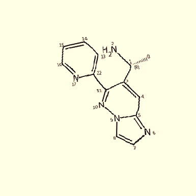 C[C@@H](N)c1cc2nccn2nc1-c1ccccn1